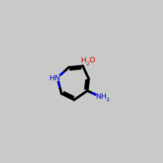 NC1=CC=CNC=C1.O